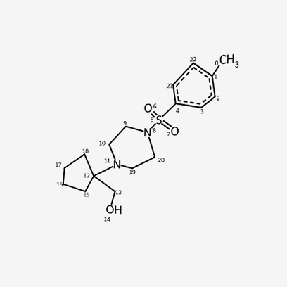 Cc1ccc(S(=O)(=O)N2CCN(C3(CO)CCCC3)CC2)cc1